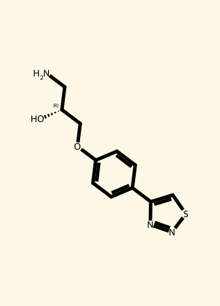 NC[C@@H](O)COc1ccc(-c2csnn2)cc1